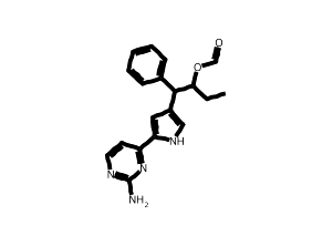 CCC(OC=O)C(c1ccccc1)c1c[nH]c(-c2ccnc(N)n2)c1